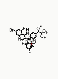 O=S(=O)(NC1CC1)c1cnc2cc(Br)cc(F)c2c1Nc1cc(Oc2cc(F)cc(F)c2)cc(C(OF)C(OF)OF)c1